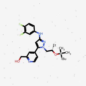 CC[C@@H](Cn1nc(Nc2ccc(F)c(F)c2)cc1-c1ccnc(CO)c1)O[Si](C)(C)C(C)(C)C